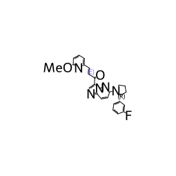 COc1cccc(/C=C/C(=O)c2cnc3ccc(N4CCC[C@@H]4c4cccc(F)c4)nn23)n1